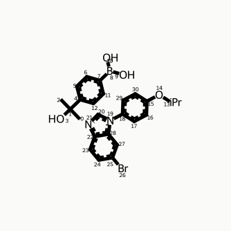 CC(C)(O)c1ccc(B(O)O)cc1.CC(C)Oc1ccc(-n2cnc3ccc(Br)cc32)cc1